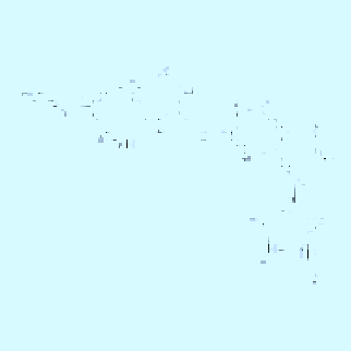 Cn1cc(-n2ncc3ccc(OC4CCc5cc(C#N)cnc54)cc32)cn1